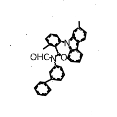 Cc1ccc2c3ccccc3n(-c3cccc(C)c3C(=O)N(C=O)c3cccc(-c4ccccc4)c3)c2c1